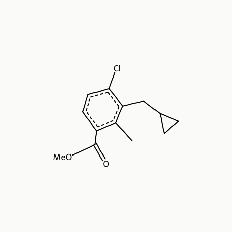 COC(=O)c1ccc(Cl)c(CC2CC2)c1C